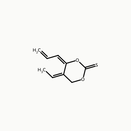 C=C/C=C1/OC(=S)OC/C1=C/C